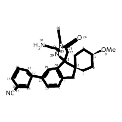 CO[C@H]1CC[C@@]2(CC1)Cc1ccc(-c3cccc(C#N)c3)cc1C21CC(=O)N(C)C(N)=N1